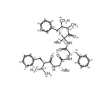 CCCC[C@H](NC(=O)[C@H](Cc1cccnc1)N(C)C)C(=O)N[C@@H](Cc1ccccc1)C(=O)N[C@@](F)(CCCC)C(=O)N(C)[C@@H](Cc1cccnc1)C(=O)O